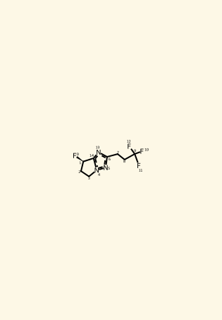 F[C@@H]1CCn2nc(CCC(F)(F)F)nc21